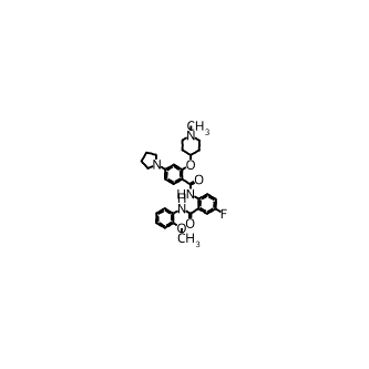 COc1ccccc1NC(=O)c1cc(F)ccc1NC(=O)c1ccc(N2CCCC2)cc1OC1CCN(C)CC1